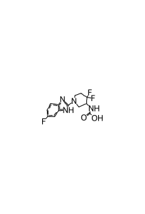 O=C(O)NC1CN(c2nc3ccc(F)cc3[nH]2)CCC1(F)F